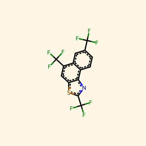 FC(F)(F)c1ccc2c(c1)c(C(F)(F)F)cc1sc(C(F)(F)F)nc12